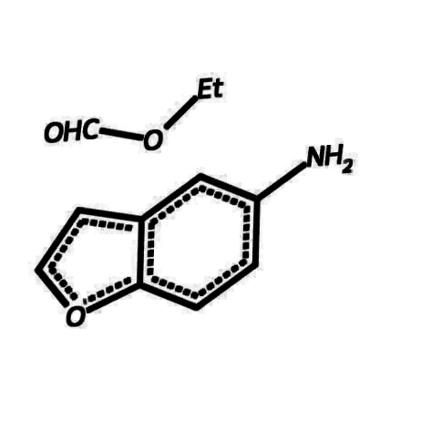 CCOC=O.Nc1ccc2occc2c1